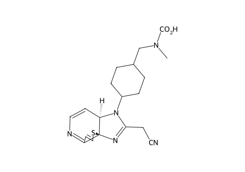 CN(CC1CCC(N2C(CC#N)=N[C@]34SC=CC3=NC=C[C@@H]24)CC1)C(=O)O